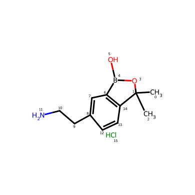 CC1(C)OB(O)c2cc(CCN)ccc21.Cl